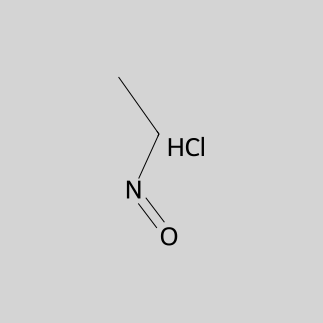 CCN=O.Cl